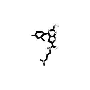 Cc1ccc(-c2nc(N)nc3sc(C(=O)NCCCN(C)C)cc23)c(C)c1